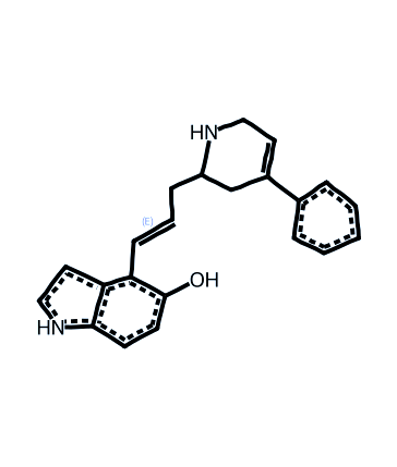 Oc1ccc2[nH]ccc2c1/C=C/CC1CC(c2ccccc2)=CCN1